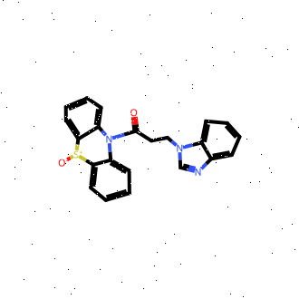 O=C(CCn1cnc2ccccc21)N1c2ccccc2[S+]([O-])c2ccccc21